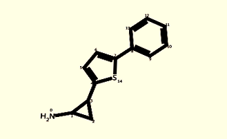 NC1CC1c1ccc(-c2ccccc2)s1